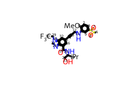 COc1ccc(S(C)(=O)=O)cc1NCC#Cc1cc(C(=O)NC(CO)C(C)C)c2ncn(CC(F)(F)F)c2c1